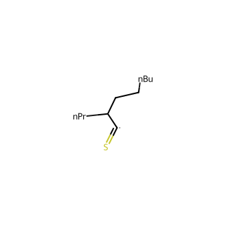 CCCCCCC([C]=S)CCC